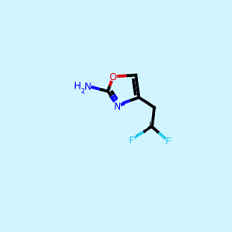 Nc1nc(CC(F)F)co1